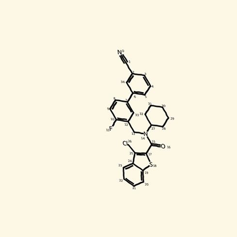 N#Cc1cccc(-c2ccc(F)c(CN(C(=O)c3sc4ccccc4c3Cl)C3CCCCC3)c2)c1